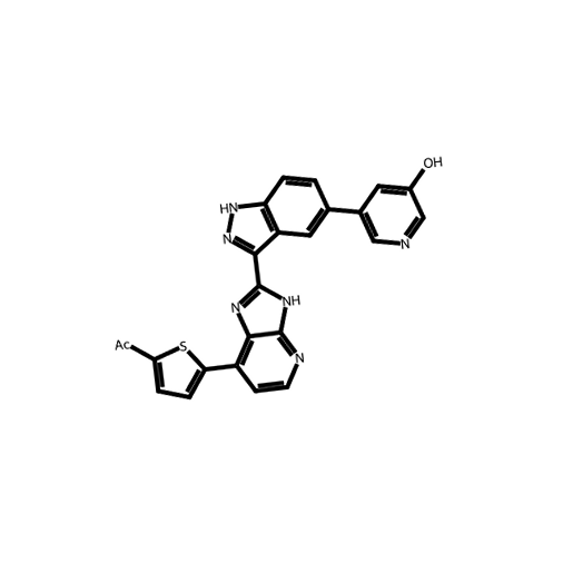 CC(=O)c1ccc(-c2ccnc3[nH]c(-c4n[nH]c5ccc(-c6cncc(O)c6)cc45)nc23)s1